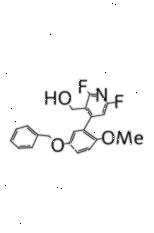 COc1ccc(OCc2ccccc2)cc1-c1cc(F)nc(F)c1CO